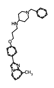 Cc1cccn2cc(-c3ccc(OCCCNC4CCN(Cc5ccccc5)CC4)cc3)nc12